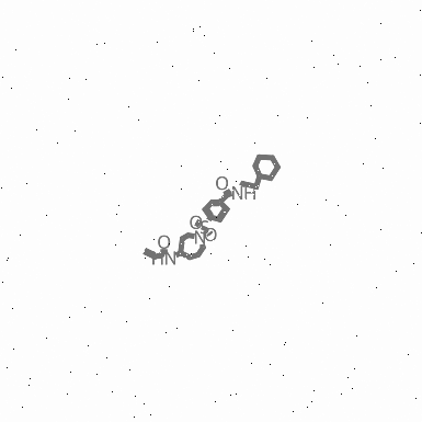 C=CC(=O)NC1CCCN(S(=O)(=O)c2ccc(C(=O)NCCC3CCCCC3)cc2)CC1